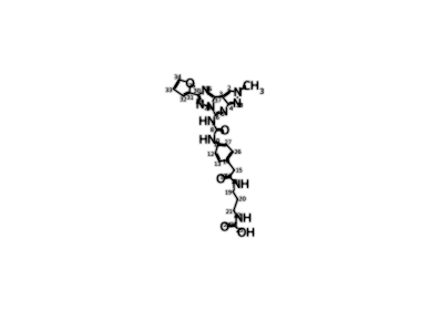 Cn1cc2c(nc(NC(=O)Nc3ccc(CC(=O)NCCCNC(=O)O)cc3)n3nc(-c4ccco4)nc23)n1